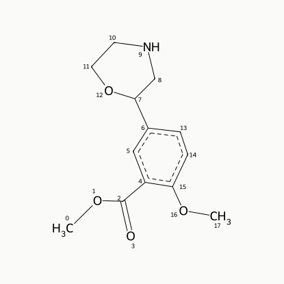 COC(=O)c1cc(C2CNCCO2)ccc1OC